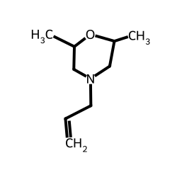 C=CCN1CC(C)OC(C)C1